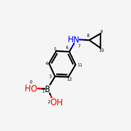 OB(O)c1ccc(NC2CC2)cc1